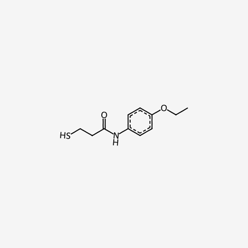 CCOc1ccc(NC(=O)CCS)cc1